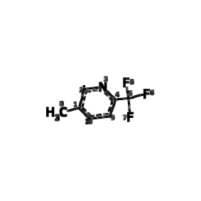 Cc1[c]nc(C(F)(F)F)cc1